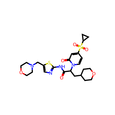 O=C(Nc1ncc(CN2CCOCC2)s1)C(CC1CCOCC1)n1ccc(S(=O)(=O)C2CC2)cc1=O